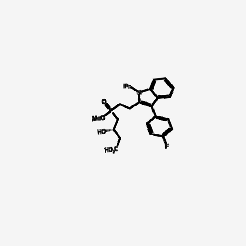 COP(=O)(CCc1c(-c2ccc(F)cc2)c2ccccc2n1C(C)C)C[C@@H](O)CC(=O)O